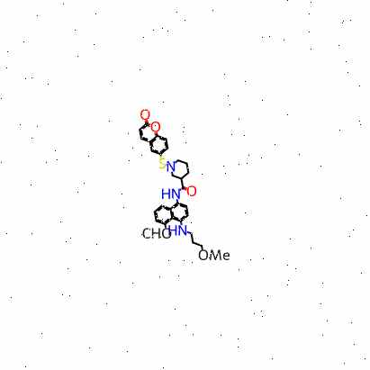 COCCCNc1ccc(NC(=O)C2CCCN(Sc3ccc4oc(=O)ccc4c3)C2)c2cccc(C=O)c12